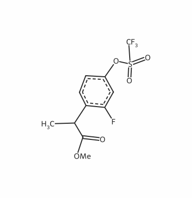 COC(=O)C(C)c1ccc(OS(=O)(=O)C(F)(F)F)cc1F